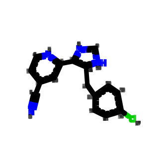 N#Cc1ccnc(-c2nc[nH]c2Cc2ccc(Cl)cc2)c1